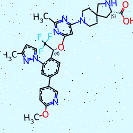 COc1ccc(-c2ccc([C@@H](Oc3cc(N4CCC5(CC4)CN[C@H](C(=O)O)C5)nc(C)n3)C(F)(F)F)c(-n3ccc(C)n3)c2)cn1